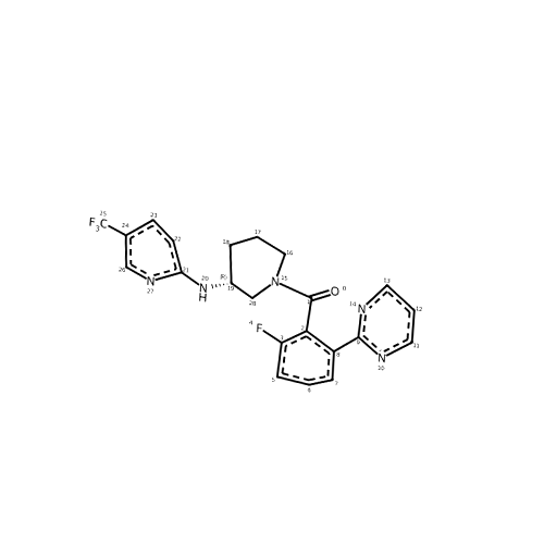 O=C(c1c(F)cccc1-c1ncccn1)N1CCC[C@@H](Nc2ccc(C(F)(F)F)cn2)C1